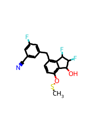 CSOc1ccc(Cc2cc(F)cc(C#N)c2)c2c1C(O)C(F)C2F